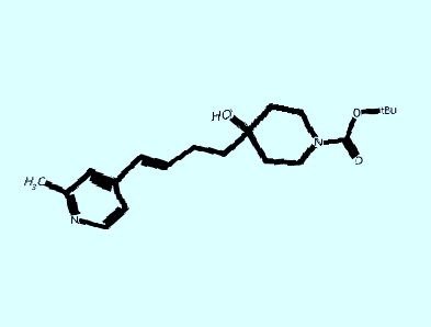 Cc1cc(C=CCCC2(O)CCN(C(=O)OC(C)(C)C)CC2)ccn1